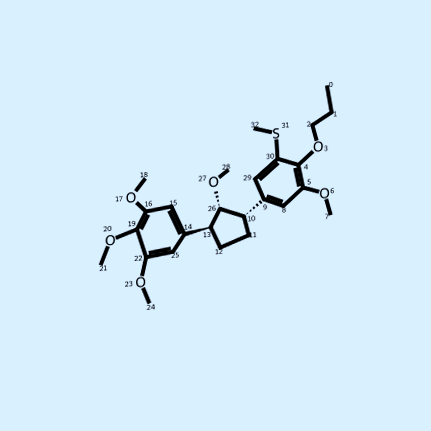 CCCOc1c(OC)cc([C@@H]2CC[C@@H](c3cc(OC)c(OC)c(OC)c3)[C@@H]2OC)cc1SC